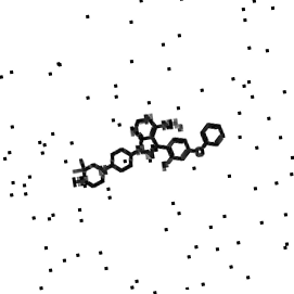 CC1(C)CN(C2CCC(n3nc(-c4ccc(Oc5ccccc5)cc4F)c4c(N)ncnc43)CC2)CCN1